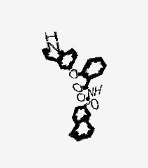 O=C(NS(=O)(=O)c1ccc2ccccc2c1)c1ccccc1Oc1ccc2[nH]ccc2c1